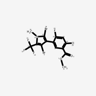 COC(=O)c1cc(-c2c(Br)c(C(F)(F)F)n(C)c2Br)c(F)cc1Cl